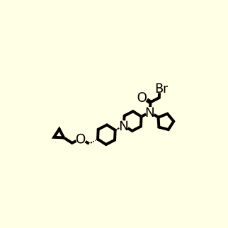 O=C(CBr)N(C1CCCC1)C1CCN([C@H]2CC[C@@H](COCC3CC3)CC2)CC1